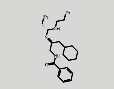 CC(C)CCN[C@@H](CC(C)C)/N=C(/CNC(=O)c1ccccc1)CC1CCCCC1